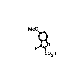 COc1ccc2oc(C(=O)O)c(F)c2c1